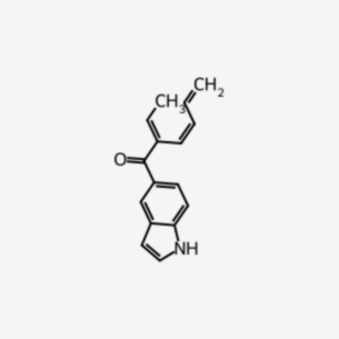 C=C/C=C\C(=C/C)C(=O)c1ccc2[nH]ccc2c1